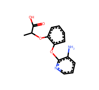 CC(Oc1ccccc1Oc1ncccc1N)C(=O)O